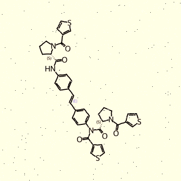 O=C(Nc1ccc(/C=C/c2ccc(N(C(=O)c3ccsc3)C(=O)[C@@H]3CCCN3C(=O)c3ccsc3)cc2)cc1)[C@@H]1CCCN1C(=O)c1ccsc1